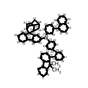 CC1(C)c2ccccc2-c2cccc(-c3ccccc3-c3ccc(N(c4cccc(-c5cccc6ccccc56)c4)c4ccc5c(c4)C4(c6ccccc6-5)C5CC6CC(C5)CC4C6)cc3)c21